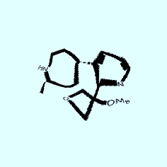 COC1(c2ncccc2[C@H]2CCN[C@H](C)C2)COC1